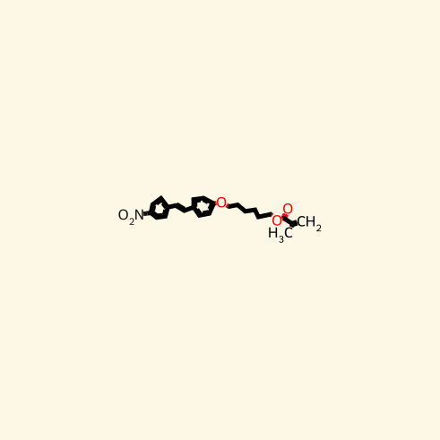 C=C(C)C(=O)OCCCCCCOc1ccc(C=Cc2ccc([N+](=O)[O-])cc2)cc1